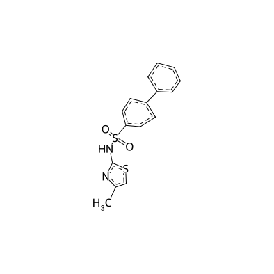 Cc1csc(NS(=O)(=O)c2ccc(-c3ccccc3)cc2)n1